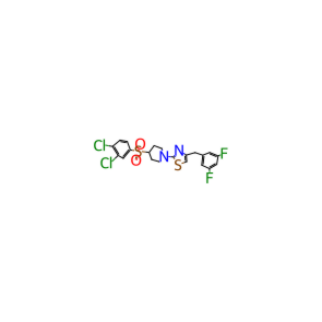 O=S(=O)(c1ccc(Cl)c(Cl)c1)C1CCN(c2nc(Cc3cc(F)cc(F)c3)cs2)CC1